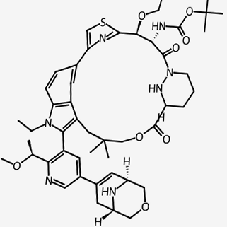 CCO[C@@H]1c2nc(cs2)-c2ccc3c(c2)c(c(-c2cc(C4=C[C@H]5COC[C@H](C4)N5)cnc2[C@H](C)OC)n3CC)CC(C)(C)COC(=O)[C@@H]2CCCN(N2)C(=O)[C@H]1NC(=O)OC(C)(C)C